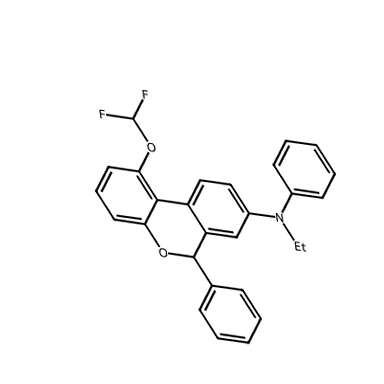 CCN(c1ccccc1)c1ccc2c(c1)C(c1ccccc1)Oc1cccc(OC(F)F)c1-2